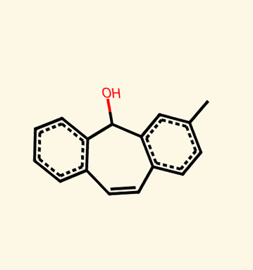 Cc1ccc2c(c1)C(O)c1ccccc1C=C2